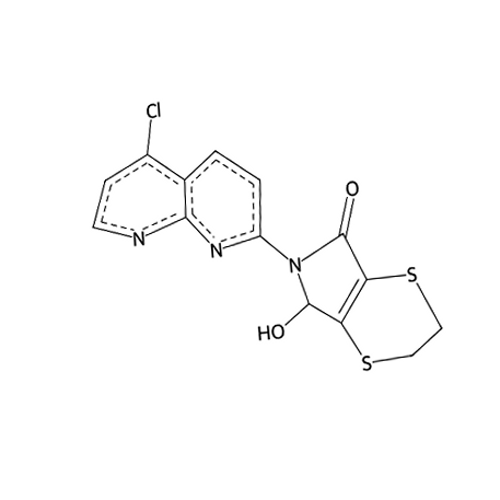 O=C1C2=C(SCCS2)C(O)N1c1ccc2c(Cl)ccnc2n1